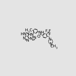 Cc1ccc(NC(=O)c2ccc(CN3CCN(C)CC3)c(C(F)(F)F)c2)cc1Nc1nccn1-c1ncnc2[nH]ccc12